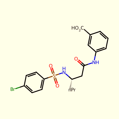 CCC[C@@H](CC(=O)Nc1cccc(C(=O)O)c1)NS(=O)(=O)c1ccc(Br)cc1